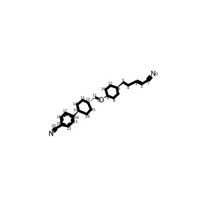 N#C/C=C/CC[C@H]1CC[C@H](OC[C@H]2CC[C@H](c3ccc(C#N)cc3)CC2)CC1